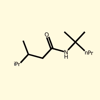 CCCC(C)(C)NC(=O)CC(C)C(C)C